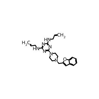 C=CCNc1nc(NCC=C)nc(N2CCN(Cc3cc4ccccc4o3)CC2)n1